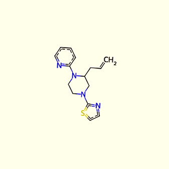 C=CCC1CN(c2nccs2)CCN1c1ccccn1